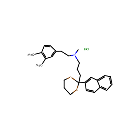 COc1ccc(CCN(C)C[CH]CC2(c3ccc4ccccc4c3)SCCCS2)cc1OC.Cl